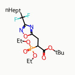 CCCCCCCC(F)(F)c1noc(CC(C(=O)OC(C)(C)C)P(=O)(OCC)OCC)n1